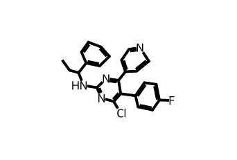 CCC(Nc1nc(Cl)c(-c2ccc(F)cc2)c(-c2ccncc2)n1)c1ccccc1